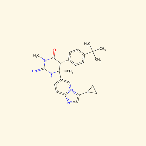 CN1C(=N)N[C@](C)(c2ccc3ncc(C4CC4)n3c2)[C@@H](c2ccc(C(C)(C)C)cc2)C1=O